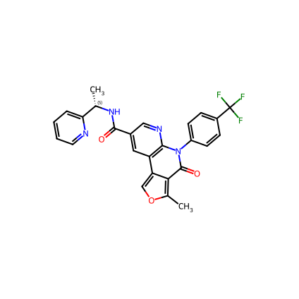 Cc1occ2c1c(=O)n(-c1ccc(C(F)(F)F)cc1)c1ncc(C(=O)N[C@@H](C)c3ccccn3)cc21